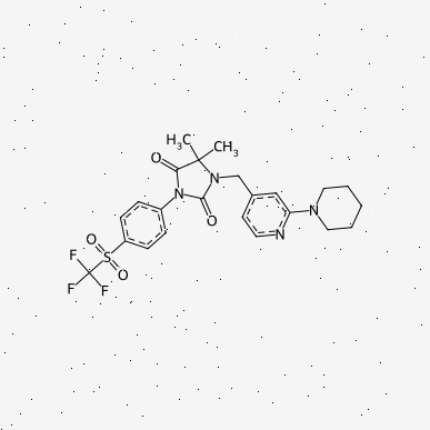 CC1(C)C(=O)N(c2ccc(S(=O)(=O)C(F)(F)F)cc2)C(=O)N1Cc1ccnc(N2CCCCC2)c1